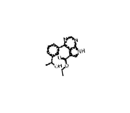 CCOC(=O)c1c[nH]c2ncnc(-c3cccc(C(C)O)c3)c12